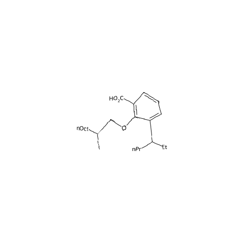 CCCCCCCCC(I)COc1c(C(=O)O)cccc1C(CC)CCC